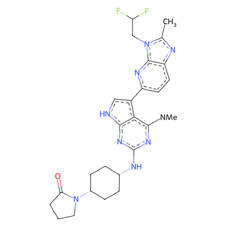 CNc1nc(N[C@H]2CC[C@@H](N3CCCC3=O)CC2)nc2[nH]cc(-c3ccc4nc(C)n(CC(F)F)c4n3)c12